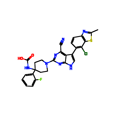 Cc1nc2ccc(-c3c[nH]c4nc(N5CCC(NC(=O)O)(c6ccccc6F)CC5)nc(C#N)c34)c(Cl)c2s1